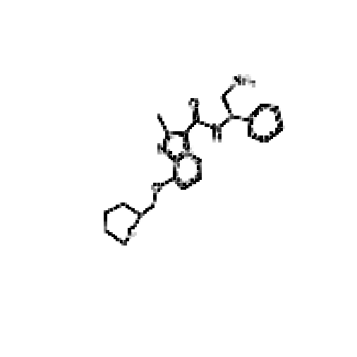 Cc1nc2c(OCC3CCCCC3)cccn2c1C(=O)N[C@@H](CN)c1ccccc1